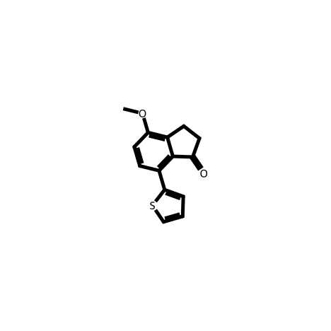 COc1ccc(-c2cccs2)c2c1CCC2=O